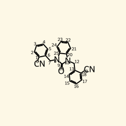 N#Cc1ccccc1Cn1c(=O)n(Cc2ccccc2C#N)c2ccccc21